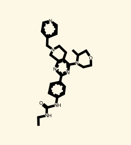 CCNC(=O)Nc1ccc(-c2nc3c(c(N4CCOCC4C)n2)CCN(Cc2ccncc2)C3)cc1